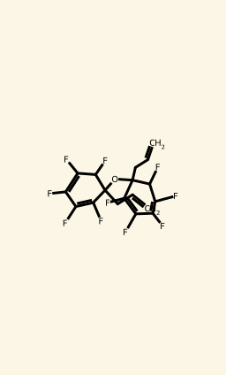 C=CCC1(OC2(CC=C)C(F)=C(F)C(F)=C(F)C2F)C(F)=C(F)C(F)=C(F)C1F